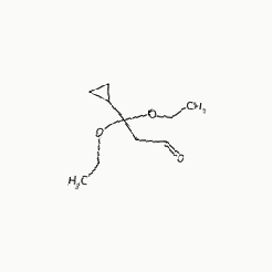 CCOC(CC=O)(OCC)C1CC1